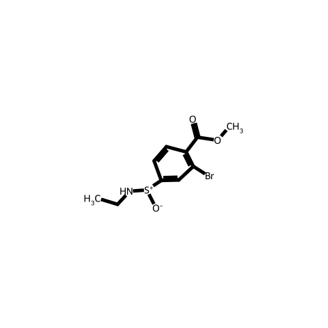 CCN[S+]([O-])c1ccc(C(=O)OC)c(Br)c1